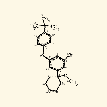 COC1(c2cc(Br)cc(Sc3ccc(C(C)(C)C)cc3)c2)CCOCC1